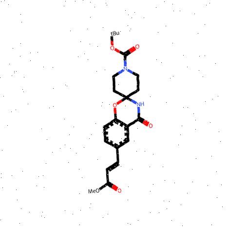 COC(=O)C=Cc1ccc2c(c1)C(=O)NC1(CCN(C(=O)OC(C)(C)C)CC1)O2